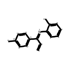 C=C/C(=N\c1ccccc1C)c1ccc(C)cc1